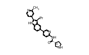 Cc1cc(-c2[nH]c3ccc(-c4ccc(NC(=O)[C@@H]5CCNC5)nc4)cc3c2C(C)C)ccn1